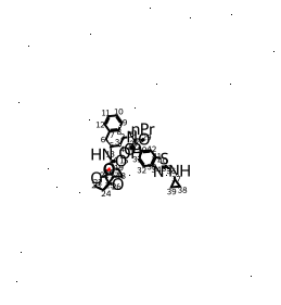 CCCN(C[C@@H](O)[C@H](Cc1ccccc1)NC(=O)OC1C2COC3OCC1C3O2)S(=O)(=O)c1ccc2nc(NC3CC3)sc2c1